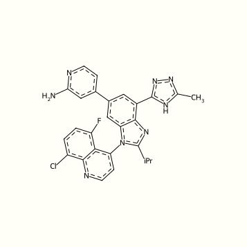 Cc1nnc(-c2cc(-c3ccnc(N)c3)cc3c2nc(C(C)C)n3-c2ccnc3c(Cl)ccc(F)c23)[nH]1